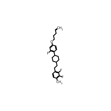 C=CCCCOc1ccc(C2CCC(CCc3ccc(C)c(F)c3F)CC2)c(F)c1